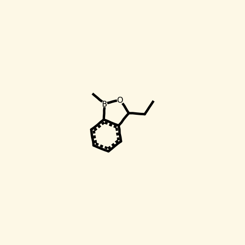 CCC1OB(C)c2ccccc21